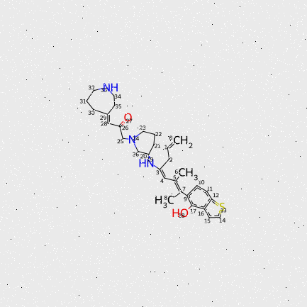 C=CC/C(=C\C(C)=C(/C)c1ccc2sccc2c1O)N[C@@H]1CCCN(CC(=O)/C=C2/CCCNCC2)C1